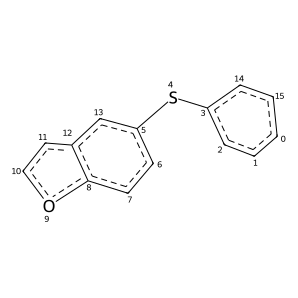 c1ccc(Sc2ccc3occc3c2)cc1